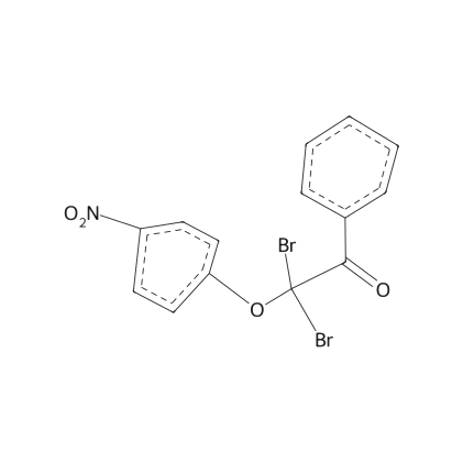 O=C(c1ccccc1)C(Br)(Br)Oc1ccc([N+](=O)[O-])cc1